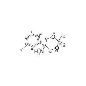 Cc1ccnc(C2(N)COC(C)(C)OC2)c1